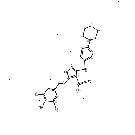 CCc1cc(CNc2[nH]nc(Nc3ccc(N4CCOCC4)cc3)c2C(N)=O)cc(C)c1O